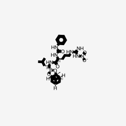 CC(C)C[C@H](NC(=O)[C@H](CCCNC(=N)N[N+](=O)[O-])NC(=O)Nc1ccccc1)B1O[C@@H]2C[C@@H]3C[C@@H](C3(C)C)[C@]2(C)O1